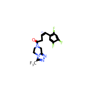 O=C(C/C=C\c1cc(F)c(F)cc1F)N1CCn2c(nnc2C(F)(F)F)C1